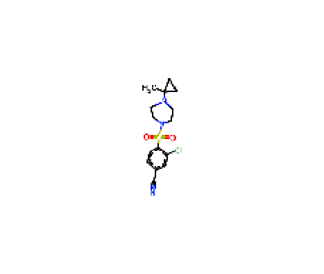 CC1(N2CCN(S(=O)(=O)c3ccc(C#N)cc3Cl)CC2)CC1